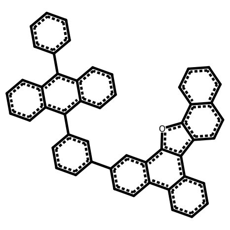 c1ccc(-c2c3ccccc3c(-c3cccc(-c4ccc5c6ccccc6c6c7ccc8ccccc8c7oc6c5c4)c3)c3ccccc23)cc1